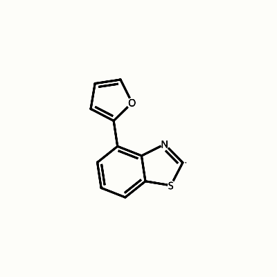 [c]1nc2c(-c3ccco3)cccc2s1